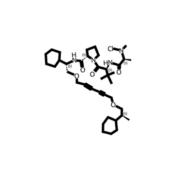 C[C@H](COCC#CC#CCOC[C@@H](NC(=O)[C@@H]1CCCN1C(=O)[C@@H](NC(=O)[C@H](C)N(C)Cl)C(C)(C)C)C1CCCCC1)C1CCCCC1